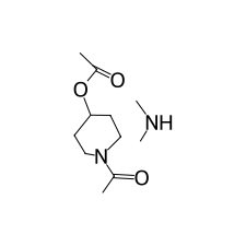 CC(=O)OC1CCN(C(C)=O)CC1.CNC